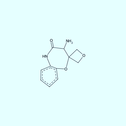 NC1C(=O)Nc2ccccc2OC12COC2